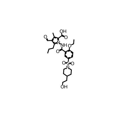 CCCc1c(C=O)c(C)c(C(=O)O)n1NC(=O)c1cc(S(=O)(=O)N2CCC(CCO)CC2)ccc1OCC